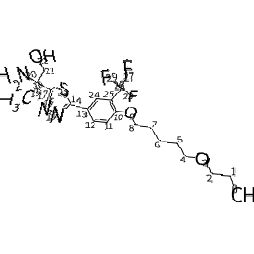 CCCOCCCCCOc1ccc(-c2nnc([C@@](C)(N)CO)s2)cc1C(F)(F)F